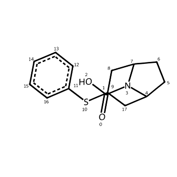 O=C(O)N1C2CCC1CC(Sc1ccccc1)C2